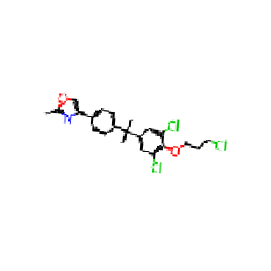 Cc1nc(-c2ccc(C(C)(C)c3cc(Cl)c(OCCCCl)c(Cl)c3)cc2)co1